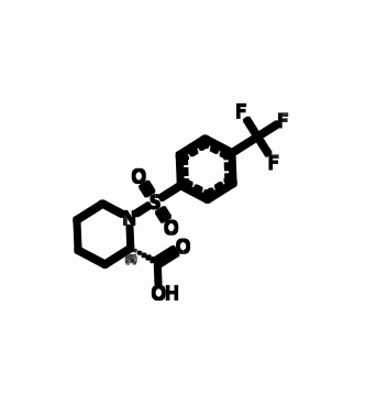 O=C(O)[C@@H]1CCCCN1S(=O)(=O)c1ccc(C(F)(F)F)cc1